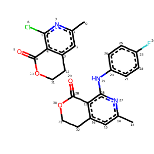 Cc1cc2c(c(Cl)n1)C(=O)OCC2.Cc1cc2c(c(Nc3ccc(F)cc3)n1)C(=O)OCC2